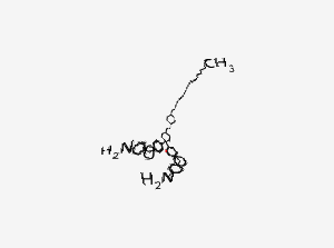 CCCCCCCCCCCC[C@H]1CC[C@H](CCC2CCC(c3ccc(Oc4ccc(N)cc4)cc3)(c3ccc(Oc4ccc(N)cc4)cc3)CC2)CC1